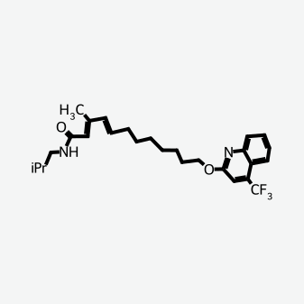 CC(C=CCCCCCCCOc1cc(C(F)(F)F)c2ccccc2n1)=CC(=O)NCC(C)C